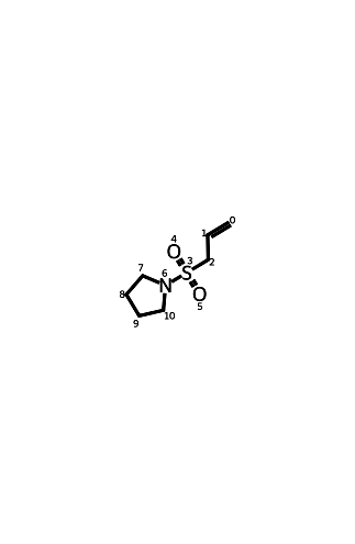 C=CCS(=O)(=O)N1CCCC1